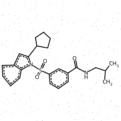 CC(C)CNC(=O)c1cccc(S(=O)(=O)n2c(C3CCCC3)cc3ccccc32)c1